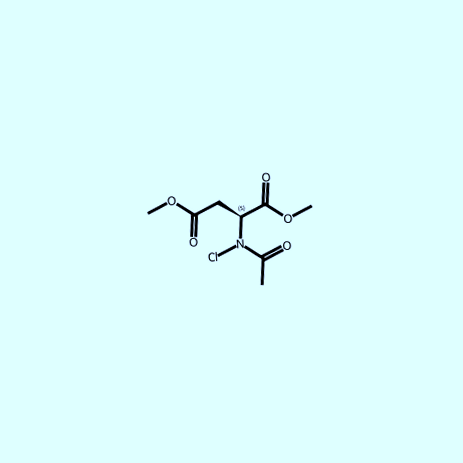 COC(=O)C[C@@H](C(=O)OC)N(Cl)C(C)=O